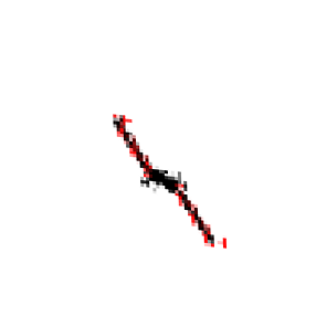 CC(C)(c1ccc(OCCOCCOCCOCCOCCO)cc1)c1ccc(OCCOCCOCCOCCOCCO)cc1